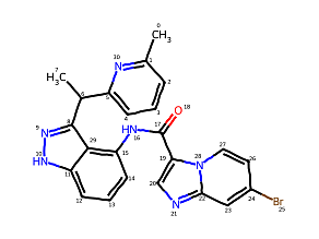 Cc1cccc(C(C)c2n[nH]c3cccc(NC(=O)c4cnc5cc(Br)ccn45)c23)n1